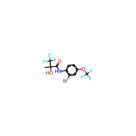 CC(O)(C(=O)Nc1ccc(OC(F)(F)F)cc1Br)C(F)(F)F